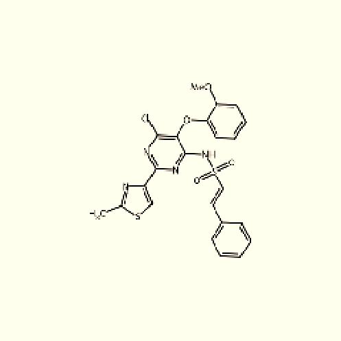 COc1ccccc1Oc1c(Cl)nc(-c2csc(C)n2)nc1NS(=O)(=O)C=Cc1ccccc1